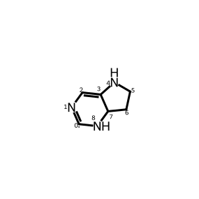 [C]1=NC=C2NCCC2N1